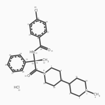 CN1CCC(C2CCN(C(=O)[C@@](C)(NC(=O)c3ccc(Cl)cc3)c3ccccc3)CC2)CC1.Cl